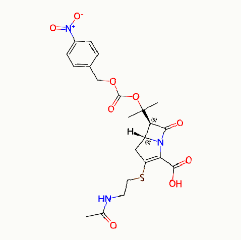 CC(=O)NCCSC1=C(C(=O)O)N2C(=O)[C@H](C(C)(C)OC(=O)OCc3ccc([N+](=O)[O-])cc3)[C@H]2C1